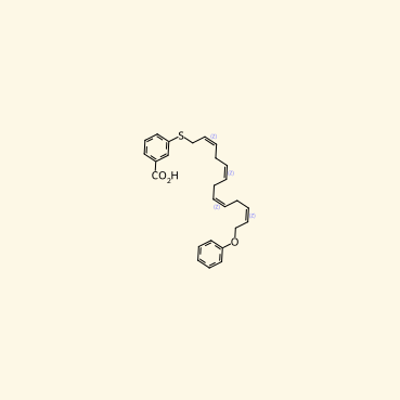 O=C(O)c1cccc(SC/C=C\C/C=C\C/C=C\C/C=C\COc2ccccc2)c1